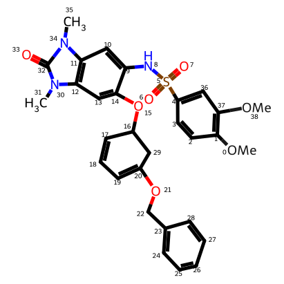 COc1ccc(S(=O)(=O)Nc2cc3c(cc2OC2C=CC=C(OCc4ccccc4)C2)n(C)c(=O)n3C)cc1OC